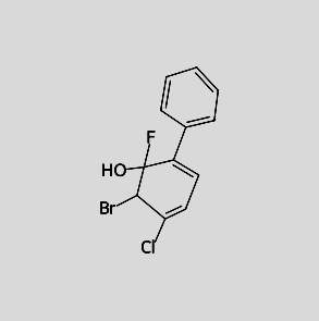 OC1(F)C(c2ccccc2)=CC=C(Cl)C1Br